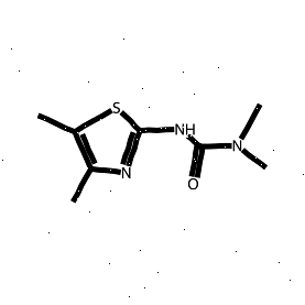 Cc1nc(NC(=O)N(C)C)sc1C